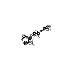 Cc1c(COc2cc(OCc3cncc(C#N)c3)c(CNC(C)(CO)CO)cc2Cl)cccc1-c1cccc(OCCCN2CCC(CO)(C(=O)O)C2)c1Cl